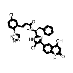 O=C(/C=C/c1cc(Cl)ccc1-n1cnnn1)N[C@@H](Cc1ccccc1)c1nc(-c2ccc3[nH]c(=O)cc(O)c3c2)c(Cl)[nH]1